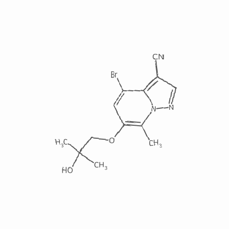 Cc1c(OCC(C)(C)O)cc(Br)c2c(C#N)cnn12